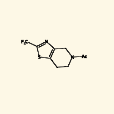 CC(=O)N1CCc2sc(C(F)(F)F)nc2C1